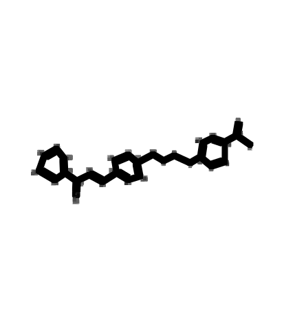 C=C(C)c1ccc(CCCCc2ccc(/C=C/C(=O)c3ccccc3)cc2)cc1